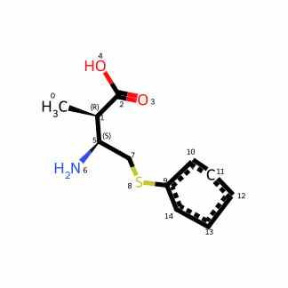 C[C@@H](C(=O)O)[C@H](N)CSc1ccccc1